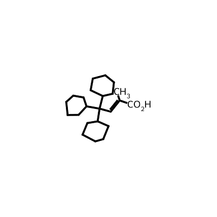 CC(=CC(C1CCCCC1)(C1CCCCC1)C1CCCCC1)C(=O)O